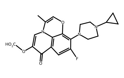 CC1=COc2c(N3CCN(C4CC4)CC3)c(F)cc3c(=O)c(OC(=O)O)cn1c23